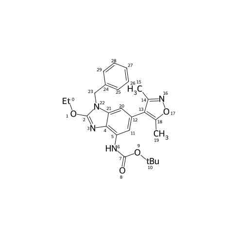 CCOc1nc2c(NC(=O)OC(C)(C)C)cc(-c3c(C)noc3C)cc2n1Cc1ccccc1